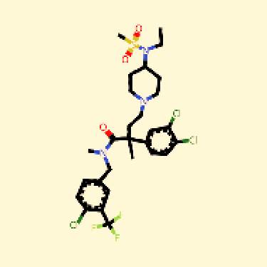 CCN(C1CCN(CCC(C)(C(=O)N(C)Cc2ccc(Cl)c(C(F)(F)F)c2)c2ccc(Cl)c(Cl)c2)CC1)S(C)(=O)=O